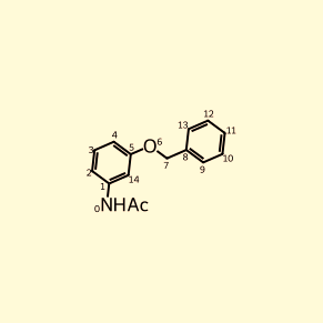 CC(=O)Nc1cccc(OCc2ccccc2)c1